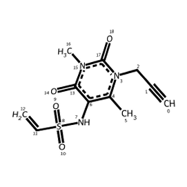 C#CCn1c(C)c(NS(=O)(=O)C=C)c(=O)n(C)c1=O